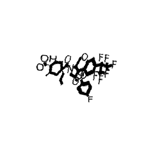 CCC[C@]1(C(=O)N2CCC3(S(=O)(=O)c4ccc(F)cc4)c4ccc(C(F)(C(F)(F)F)C(F)(F)F)cc4OCC23)CC[C@@H](C(=O)O)[C@H](C)C1